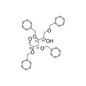 O=C[C@H](OCc1ccccc1)[C@@H](OCc1ccccc1)[C@@H](OCc1ccccc1)[C@H](O)COCc1ccccc1